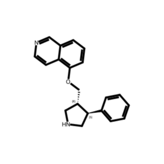 c1ccc([C@H]2CNC[C@@H]2COc2cccc3cnccc23)cc1